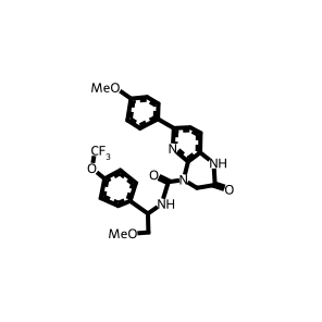 COCC(NC(=O)N1CC(=O)Nc2ccc(-c3ccc(OC)cc3)nc21)c1ccc(OC(F)(F)F)cc1